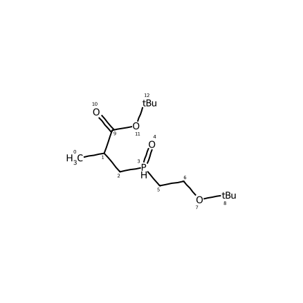 CC(C[PH](=O)CCOC(C)(C)C)C(=O)OC(C)(C)C